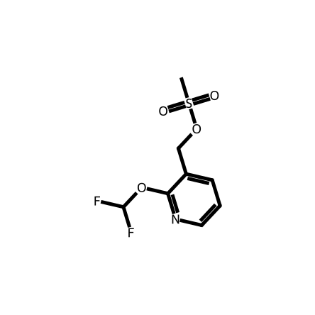 CS(=O)(=O)OCc1cccnc1OC(F)F